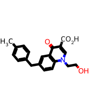 Cc1ccc(Cc2ccc3c(c2)c(=O)c(C(=O)O)cn3CCO)cc1